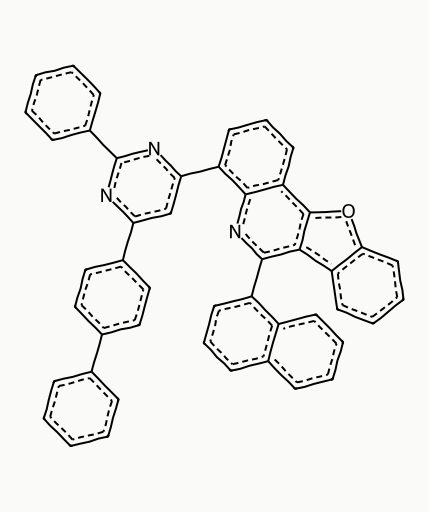 c1ccc(-c2ccc(-c3cc(-c4cccc5c4nc(-c4cccc6ccccc46)c4c6ccccc6oc54)nc(-c4ccccc4)n3)cc2)cc1